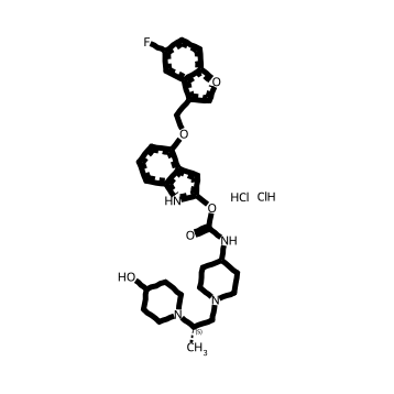 C[C@@H](CN1CCC(NC(=O)Oc2cc3c(OCc4coc5ccc(F)cc45)cccc3[nH]2)CC1)N1CCC(O)CC1.Cl.Cl